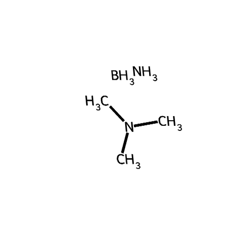 B.CN(C)C.N